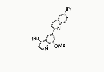 COc1cc(-c2ccc3cc(C(C)C)ccc3n2)cc2c(C(C)(C)C)ccnc12